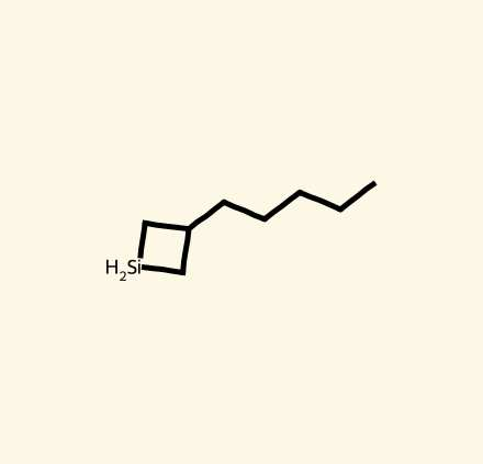 CCCCCC1C[SiH2]C1